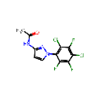 CC(=O)Nc1ccn(-c2c(F)c(F)c(Cl)c(F)c2Cl)n1